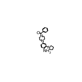 Nc1ccc(N2CCN(C(=O)c3ccccc3)CC2)cc1N1CCCC1